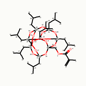 C=C(C)C(=O)OC[Si]12O[Si]3(CC(C)C)O[Si]4(CC(C)C)O[Si](CC(C)C)(O1)O[Si]1(CC(C)C)O[Si](CC(C)C)(O2)O[Si](CC(C)C)(O3)O[Si](CC(C)C)(O4)O1